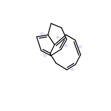 C1=C\C=C(/C2=C/C=C\C=C/CC2)CC\C=C/1